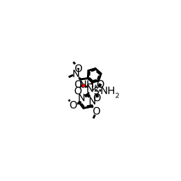 COc1cc(OC)nc([N+](C(N)=O)(c2ccccc2C(=O)N(C)OC)S(N)(=O)=O)n1